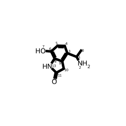 CC(N)c1ccc(O)c2c1CC(=O)N2